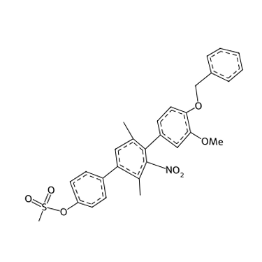 COc1cc(-c2c(C)cc(-c3ccc(OS(C)(=O)=O)cc3)c(C)c2[N+](=O)[O-])ccc1OCc1ccccc1